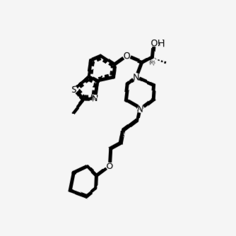 Cc1nc2cc(OC([C@@H](C)O)N3CCN(CCCCOC4CCCCC4)CC3)ccc2s1